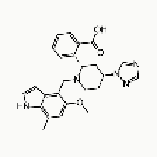 COc1cc(C)c2[nH]ccc2c1CN1CC[C@H](n2cncn2)C[C@H]1c1ccccc1C(=O)O